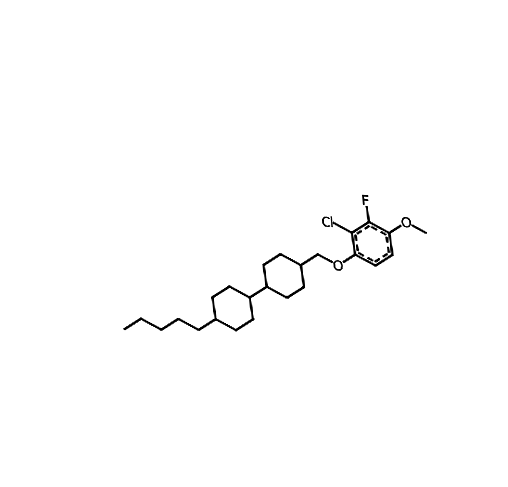 CCCCCC1CCC(C2CCC(COc3ccc(OC)c(F)c3Cl)CC2)CC1